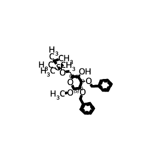 CO[C@H]1O[C@H](CO[Si](C)(C)C(C)(C)C)[C@@H](O)[C@H](OCc2ccccc2)[C@H]1OCc1ccccc1